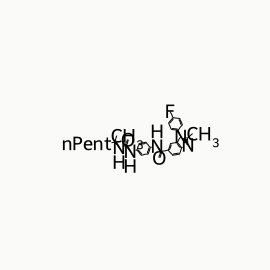 CCCCCC(C)NC(=O)Nc1ccc(NC(=O)c2ccc3nc(C)n(-c4ccc(F)cc4)c3c2)cc1